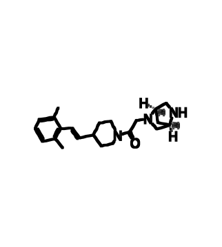 Cc1cccc(C)c1C=CC1CCN(C(=O)CN2C[C@H]3C[C@@H]2CN3)CC1